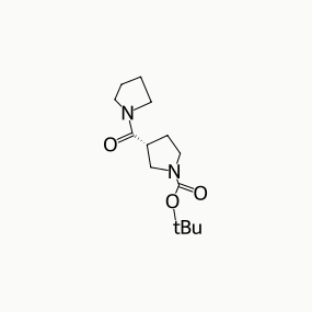 CC(C)(C)OC(=O)N1CC[C@@H](C(=O)N2CCCC2)C1